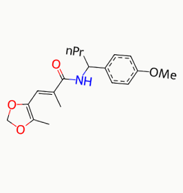 CCCC(NC(=O)/C(C)=C/C1=C(C)OCO1)c1ccc(OC)cc1